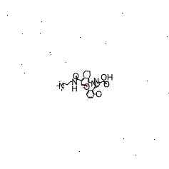 COc1cccc(OC)c1-c1cc(C(=O)O)nn1-c1ccc(C(=O)NCCCN(C)C)c2c1CCCC2